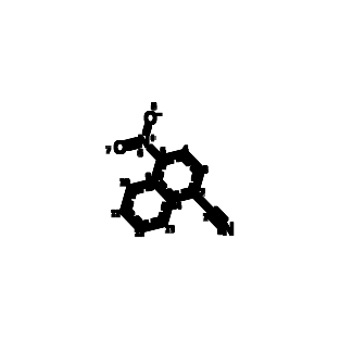 N#Cc1ccc([N+](=O)[O-])c2ccccc12